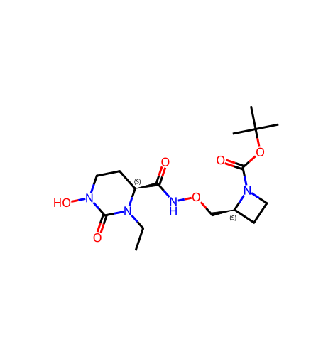 CCN1C(=O)N(O)CC[C@H]1C(=O)NOC[C@@H]1CCN1C(=O)OC(C)(C)C